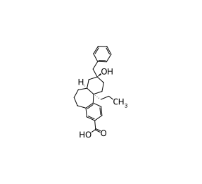 CCC[C@@]12CC[C@@](O)(Cc3ccccc3)C[C@@H]1CCCc1cc(C(=O)O)ccc12